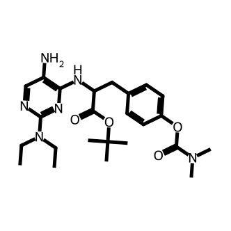 CCN(CC)c1ncc(N)c(NC(Cc2ccc(OC(=O)N(C)C)cc2)C(=O)OC(C)(C)C)n1